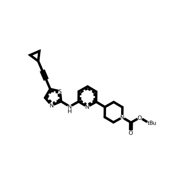 CC(C)(C)OC(=O)N1CCC(c2cccc(Nc3ncc(C#CC4CC4)s3)n2)CC1